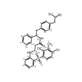 CCN(CC)Cc1ccc(CC(NC(=O)CCNc2ccccc2S(=O)(=O)c2ccc(Cl)c(C)c2Cl)c2cccnc2)cc1